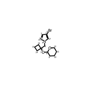 Brc1cnn(CC2(OC3CCCCO3)CCC2)c1